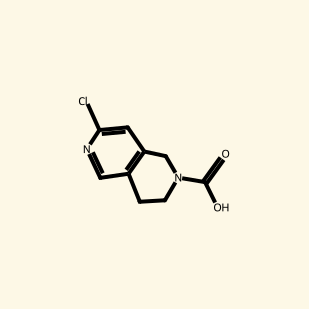 O=C(O)N1CCc2cnc(Cl)cc2C1